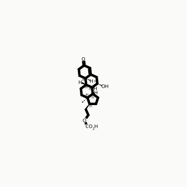 C[C@]12CC[C@H]3[C@@H]([C@@H](O)CC4=CC(=O)CC[C@@H]43)[C@@H]1CC[C@H]2CCOC(=O)O